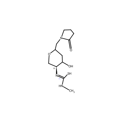 CN/C(S)=N/[C@H]1COC(CN2CCCC2=O)CC1O